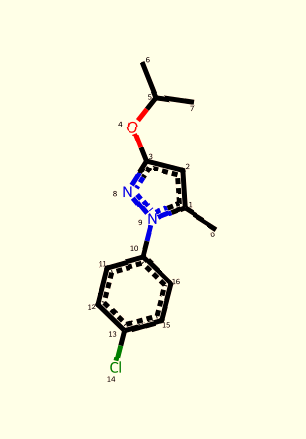 Cc1cc(OC(C)C)nn1-c1ccc(Cl)cc1